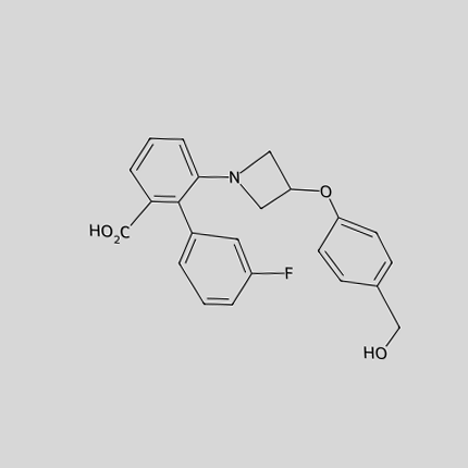 O=C(O)c1cccc(N2CC(Oc3ccc(CO)cc3)C2)c1-c1cccc(F)c1